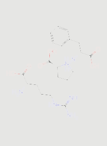 N=C(N)NCCC[C@H](N)C(=O)O.N[C@H](Cc1ccccc1)C(=O)O.O=C(O)[C@@H]1CCCN1